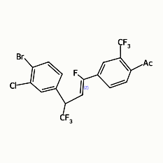 CC(=O)c1ccc(/C(F)=C/C(c2ccc(Br)c(Cl)c2)C(F)(F)F)cc1C(F)(F)F